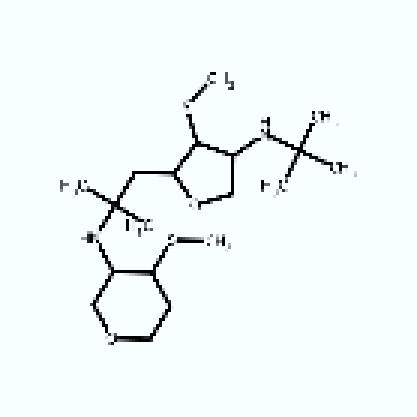 CSC1CCOCC1NC(C)(C)CC1OCC(NC(C)(C)C)C1SC